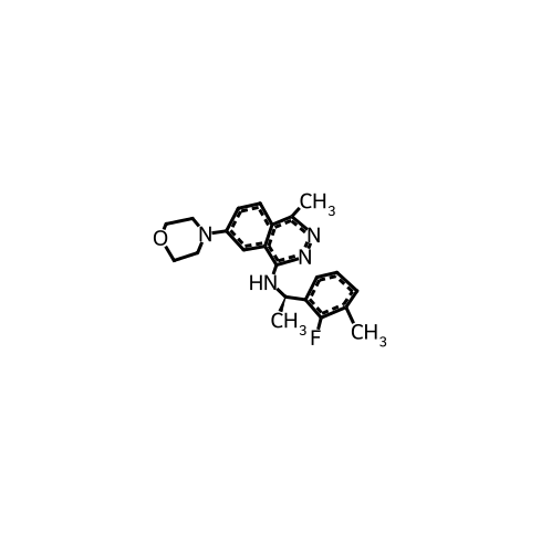 Cc1cccc([C@@H](C)Nc2nnc(C)c3ccc(N4CCOCC4)cc23)c1F